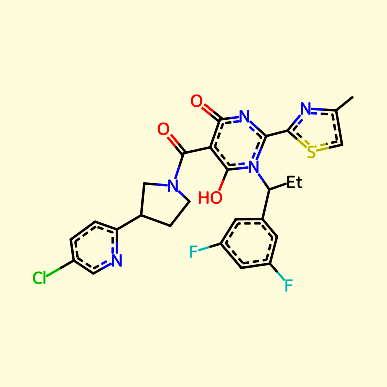 CCC(c1cc(F)cc(F)c1)n1c(-c2nc(C)cs2)nc(=O)c(C(=O)N2CCC(c3ccc(Cl)cn3)C2)c1O